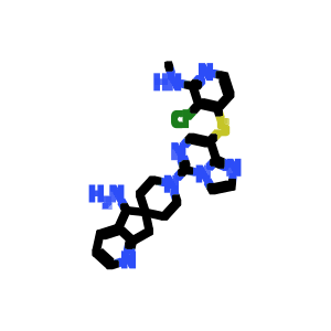 CNc1nccc(Sc2cnc(N3CCC4(CC3)Cc3ncccc3C4N)n3ccnc23)c1Cl